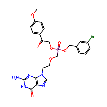 COc1ccc(C(=O)COP(=O)(COCCn2cnc3c(=O)[nH]c(N)nc32)OCc2cccc(Br)c2)cc1